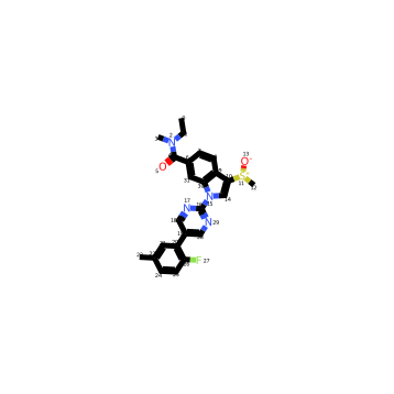 CCN(C)C(=O)c1ccc2c([S+](C)[O-])cn(-c3ncc(-c4cc(C)ccc4F)cn3)c2c1